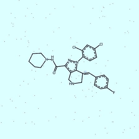 O=C(NN1CCCCC1)c1nn(-c2ccc(Cl)cc2Cl)c2c1CNC/C2=C\c1ccc(F)cc1